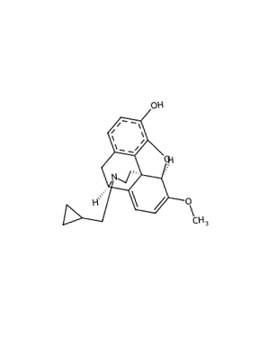 COC1=CC=C2[C@H]3Cc4ccc(O)c5c4[C@@]2(CCN3CC2CC2)[C@H]1O5